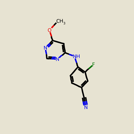 COc1cc(Nc2ccc(C#N)cc2F)ncn1